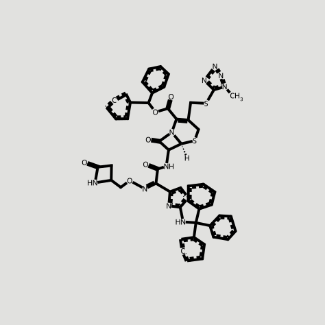 Cn1nnnc1SCC1=C(C(=O)OC(c2ccccc2)c2ccccc2)N2C(=O)C(NC(=O)/C(=N\OCC3CC(=O)N3)c3csc(NC(c4ccccc4)(c4ccccc4)c4ccccc4)n3)[C@@H]2SC1